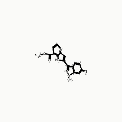 COC(=O)c1ccnc2cc(-c3nn(C)c4cc(Cl)ccc34)[nH]c12